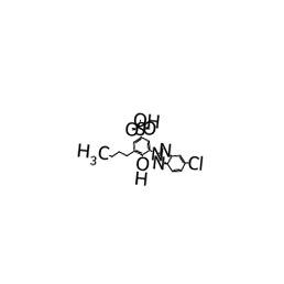 CCCCc1cc(S(=O)(=O)O)cc(-n2nc3ccc(Cl)cc3n2)c1O